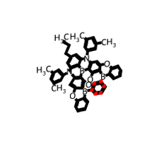 CCCCc1cc2c3c(c1)N(c1cc(C)cc(C)c1)c1cc4c5c(c1B3c1c(cc3c6c1Oc1ccccc1B6c1ccccc1O3)N2c1cc(C)cc(C)c1)Oc1ccccc1B5c1ccccc1O4